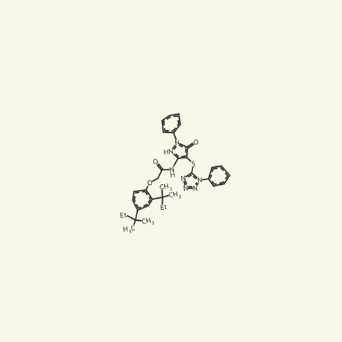 CCC(C)(C)c1ccc(OCC(=O)Nc2[nH]n(-c3ccccc3)c(=O)c2Sc2nnnn2-c2ccccc2)c(C(C)(C)CC)c1